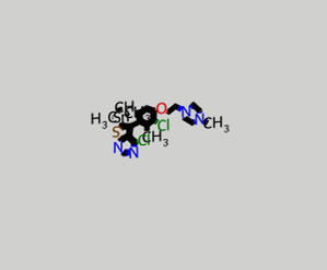 Cc1c(-c2[c]([Sn]([CH3])([CH3])[CH3])sc3ncnc(Cl)c23)ccc(OCCN2CCN(C)CC2)c1Cl